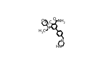 CCN(c1cc(-c2ccc(CN3CCNCC3)cc2)cc(C(N)=O)c1C)C1CCOCC1